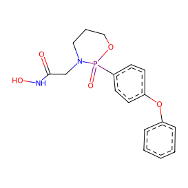 O=C(CN1CCCOP1(=O)c1ccc(Oc2ccccc2)cc1)NO